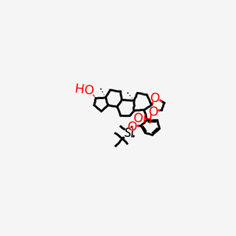 CC(C)(C)[Si](C)(C)Oc1ccccc1C1C2(CC[C@]3(C)C4CC[C@@]5(C)C(CC[C@@H]5O)C4CC[C@@]13O)OCCO2